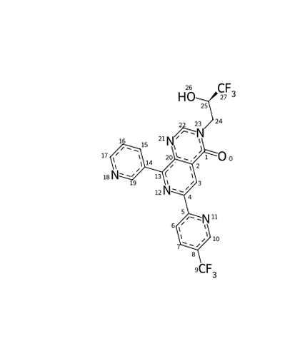 O=c1c2cc(-c3ccc(C(F)(F)F)cn3)nc(-c3cccnc3)c2ncn1C[C@@H](O)C(F)(F)F